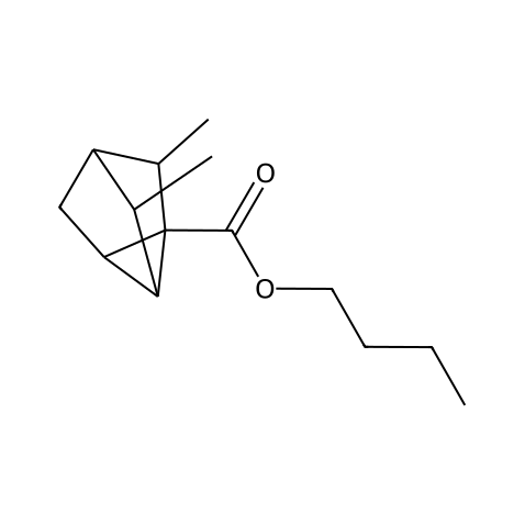 CCCCOC(=O)C12C(C)C3CC1C2C3C